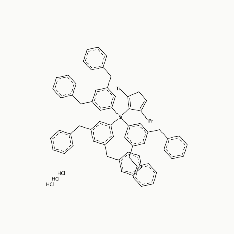 CC(C)C1=CC[C]([Ti])=C1[Si](c1cc(Cc2ccccc2)cc(Cc2ccccc2)c1)(c1cc(Cc2ccccc2)cc(Cc2ccccc2)c1)c1cc(Cc2ccccc2)cc(Cc2ccccc2)c1.Cl.Cl.Cl